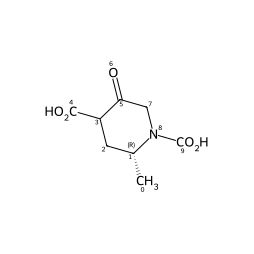 C[C@@H]1CC(C(=O)O)C(=O)CN1C(=O)O